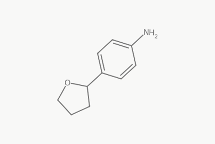 Nc1ccc(C2CCCO2)cc1